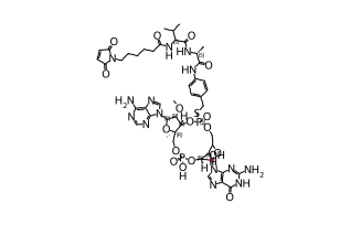 CO[C@H]1[C@H](n2cnc3c(N)ncnc32)O[C@]2(C)COP(=O)(O)O[C@@H]3[C@H](O)C(CO[P@](=O)(SCc4ccc(NC(=O)[C@H](C)NC(=O)[C@@H](NC(=O)CCCCCN5C(=O)C=CC5=O)C(C)C)cc4)O[C@@H]12)O[C@H]3n1cnc2c(=O)[nH]c(N)nc21